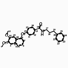 COc1cc2nccc(Oc3ccc(C(=O)NCCCc4ccccc4)cc3)c2cc1OC